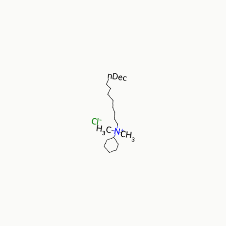 CCCCCCCCCCCCCCCCCC[N+](C)(C)C1CCCCC1.[Cl-]